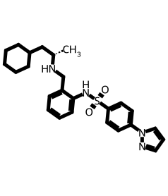 C[C@@H](CC1CCCCC1)NCc1ccccc1NS(=O)(=O)c1ccc(-n2cccn2)cc1